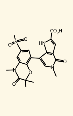 CN1C(=O)C(C)(C)Oc2c(-c3cn(C)c(=O)c4cc(C(=O)O)[nH]c34)cc(S(C)(=O)=O)cc21